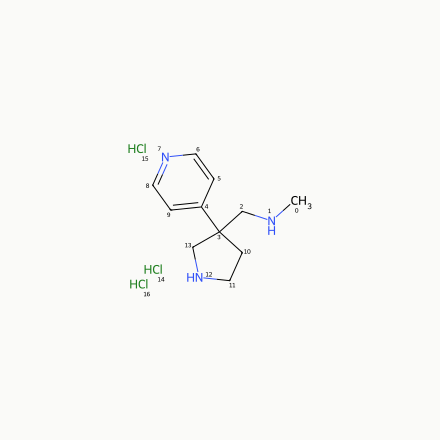 CNCC1(c2ccncc2)CCNC1.Cl.Cl.Cl